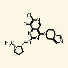 CN1CCC[C@H]1COc1nc(N2CCn3cncc3C2)c2cnc(Cl)c(F)c2n1